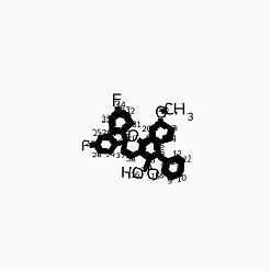 COc1ccc2c(-c3ccccc3)c(C(=O)O)c3c(c2c1)OC(c1ccc(F)cc1)(c1ccc(F)cc1)C=C3